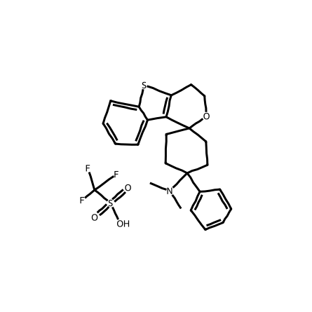 CN(C)C1(c2ccccc2)CCC2(CC1)OCCc1sc3ccccc3c12.O=S(=O)(O)C(F)(F)F